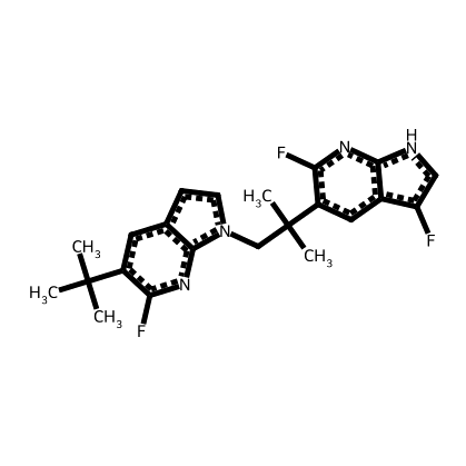 CC(C)(C)c1cc2ccn(CC(C)(C)c3cc4c(F)c[nH]c4nc3F)c2nc1F